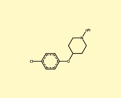 [CH2]CCN1CCC(Oc2ccc(Cl)cc2)CC1